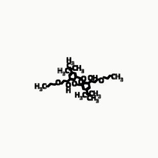 CCCCOCCC(O)c1cc(C(C)(C)C)cc2c1OC1OC2Oc2c(C(O)CCOCCCC)cc(C(C)(C)C)cc21